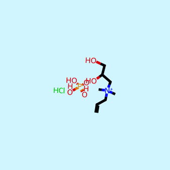 C=CC[N+](C)(C)CC(O)CO.Cl.O=P(O)(O)O